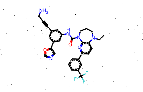 CCN1CCCN(C(=O)Nc2cc(C#CCN)cc(-c3cnco3)c2)c2nc(-c3cccc(C(F)(F)F)c3)ccc21